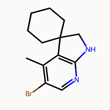 Cc1c(Br)cnc2c1C1(CCCCC1)CN2